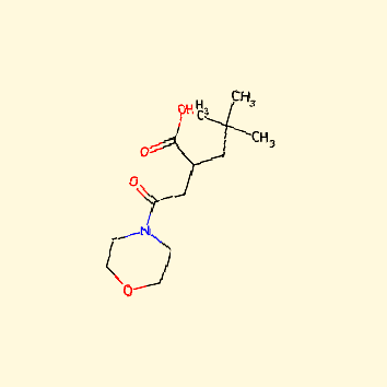 CC(C)(C)CC(CC(=O)N1CCOCC1)C(=O)O